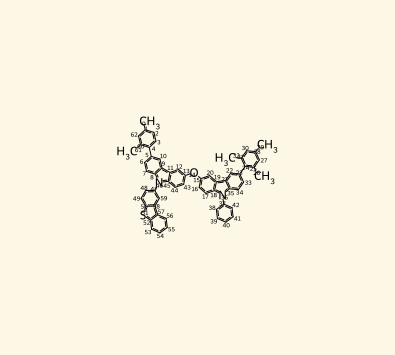 Cc1ccc(-c2ccc3c(c2)c2cc(Oc4ccc5c(c4)c4cc(-c6c(C)cc(C)cc6C)ccc4n5-c4ccccc4)ccc2n3-c2ccc3sc4ccccc4c3c2)c(C)c1